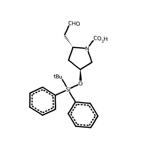 CC(C)(C)[Si](O[C@H]1C[C@H](CC=O)N(C(=O)O)C1)(c1ccccc1)c1ccccc1